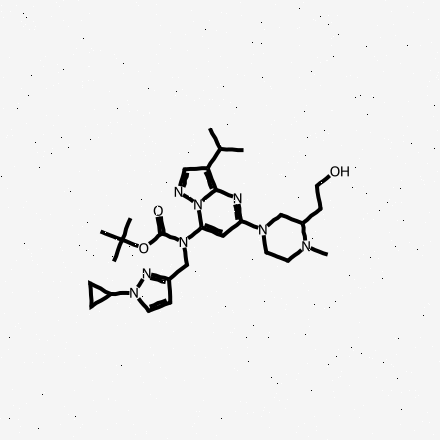 CC(C)c1cnn2c(N(Cc3ccn(C4CC4)n3)C(=O)OC(C)(C)C)cc(N3CCN(C)C(CCO)C3)nc12